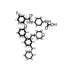 O=C(O)N[C@H]1CC[C@H](NC(=O)c2cc(F)cnc2Oc2cccc(-c3ccc(CN4CCSCC4)cc3CN3CCOCC3)c2)CC1